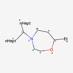 CCCCCCCC(CCCCCCC)N1CCOC(CC)CC1